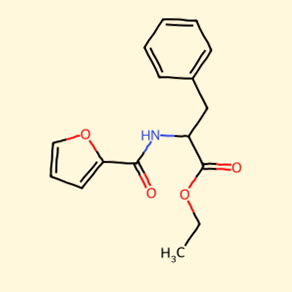 CCOC(=O)C(Cc1ccccc1)NC(=O)c1ccco1